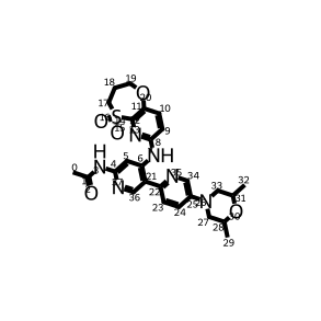 CC(=O)Nc1cc(Nc2ccc3c(n2)S(=O)(=O)CCCO3)c(-c2ccc(N3CC(C)OC(C)C3)cn2)cn1